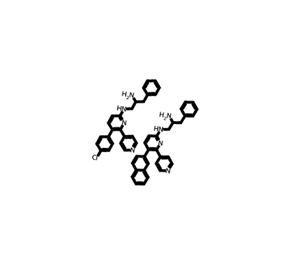 NC(CNc1ccc(-c2ccc(Cl)cc2)c(-c2ccncc2)n1)Cc1ccccc1.NC(CNc1ccc(-c2ccc3ccccc3c2)c(-c2ccncc2)n1)Cc1ccccc1